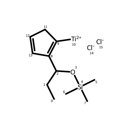 CCC(O[Si](C)(C)C)C1=[C]([Ti+2])CC=C1.[Cl-].[Cl-]